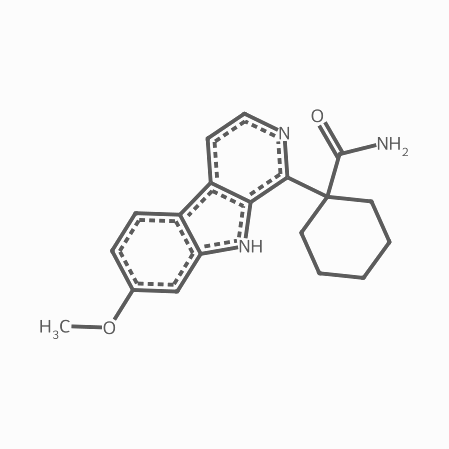 COc1ccc2c(c1)[nH]c1c(C3(C(N)=O)CCCCC3)nccc12